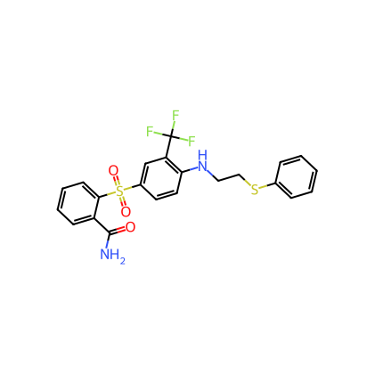 NC(=O)c1ccccc1S(=O)(=O)c1ccc(NCCSc2ccccc2)c(C(F)(F)F)c1